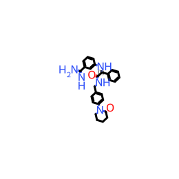 N=C(N)c1cccc(N[C@H](C(=O)NCc2ccc(N3CCCCC3=O)cc2)c2ccccc2)c1